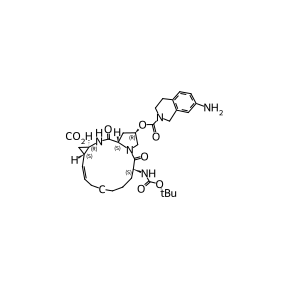 CC(C)(C)OC(=O)N[C@H]1CCCCCC=C[C@@H]2C[C@@]2(C(=O)O)NC(=O)[C@@H]2C[C@@H](OC(=O)N3CCc4ccc(N)cc4C3)CN2C1=O